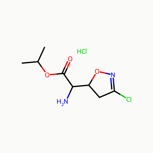 CC(C)OC(=O)C(N)C1CC(Cl)=NO1.Cl